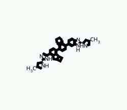 C[C@@H]1CN[C@H](c2ncc(-c3ccc(-c4ccc(-c5ccc6nc([C@@H]7C[C@H](C)CN7)[nH]c6c5)c5c4C4CCC5C4)c4c3CC3CCC43)[nH]2)C1